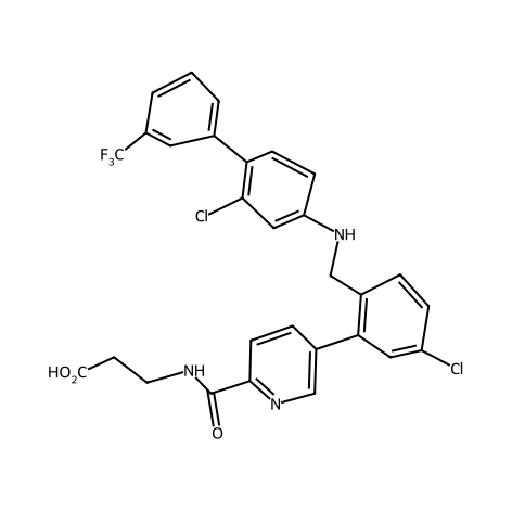 O=C(O)CCNC(=O)c1ccc(-c2cc(Cl)ccc2CNc2ccc(-c3cccc(C(F)(F)F)c3)c(Cl)c2)cn1